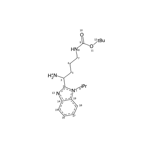 CC(C)n1c(C(N)CCCNC(=O)OC(C)(C)C)nc2ccccc21